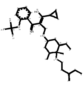 CCC(C)CCOC1(C)C(C)CC(OC/C(C(=N)c2ccccc2OC(F)(F)F)=C(/O)C2CC2)CC1CC